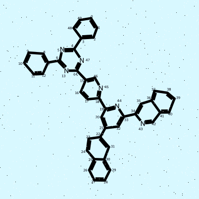 c1ccc(-c2nc(-c3ccccc3)nc(-c3ccc(-c4cc(-c5ccc6ccccc6c5)cc(-c5cc6ccccc6cn5)n4)nc3)n2)cc1